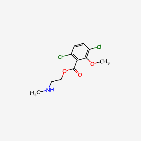 CNCCOC(=O)c1c(Cl)ccc(Cl)c1OC